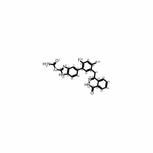 NC(=O)Oc1nc2cc(-c3cc(Cc4n[nH]c(=O)c5ccccc45)c(F)cc3F)ccc2[nH]1